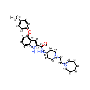 Cc1ccc(Oc2cccc3[nH]c(C(=O)NC4CCN(CCN5CCCCCC5)CC4)cc23)cc1